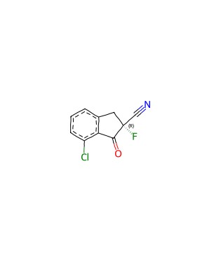 N#C[C@]1(F)Cc2cccc(Cl)c2C1=O